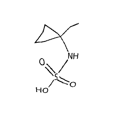 CC1(NS(=O)(=O)O)CC1